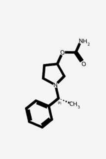 C[C@H](c1ccccc1)N1CCC(OC(N)=O)C1